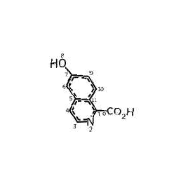 O=C(O)c1nccc2cc(O)ccc12